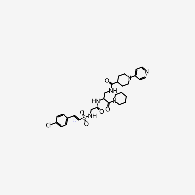 O=C(CNS(=O)(=O)/C=C/c1ccc(Cl)cc1)NC(CNC(=O)C1CCN(c2ccncc2)CC1)C(=O)N1CCCCC1